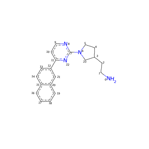 NCCC1CCN(c2nccc(-c3ccc4ccccc4c3)n2)C1